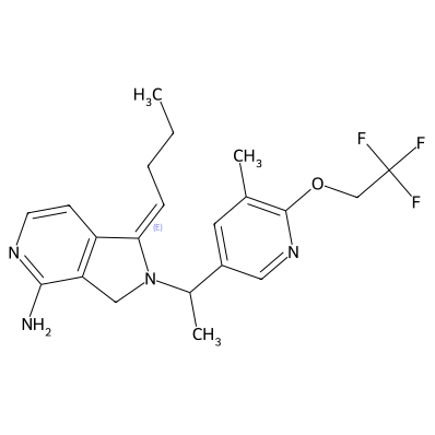 CCC/C=C1\c2ccnc(N)c2CN1C(C)c1cnc(OCC(F)(F)F)c(C)c1